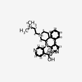 CN(C)CCN1CCCC(N(c2cnccc2C(=O)O)c2[nH]ncc2-c2ccccc2)C1